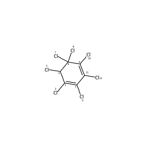 ClC1=C(Cl)C(Cl)C(Cl)(Cl)C(Cl)=C1Cl